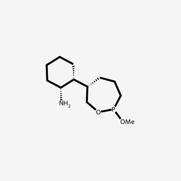 COP1CCC[C@@H]([C@H]2CCCC[C@H]2N)CO1